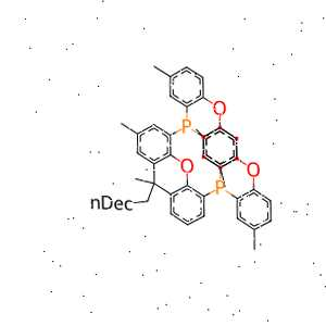 CCCCCCCCCCCC1(C)c2cccc(P3c4cc(C)ccc4Oc4ccc(C)cc43)c2Oc2c(P3c4cc(C)ccc4Oc4ccc(C)cc43)cc(C)cc21